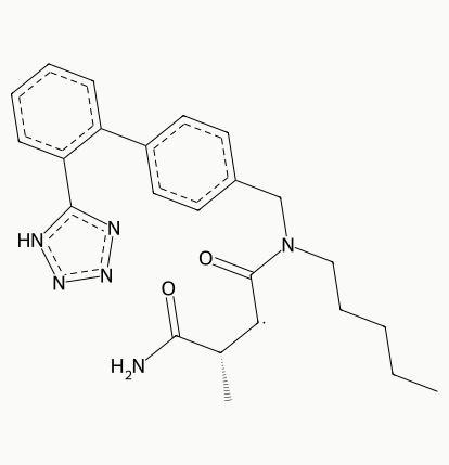 CCCCCN(Cc1ccc(-c2ccccc2-c2nnn[nH]2)cc1)C(=O)[CH][C@H](C)C(N)=O